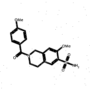 COc1ccc(C(=O)N2CCc3cc(S(N)(=O)=O)c(OC)cc3C2)cc1